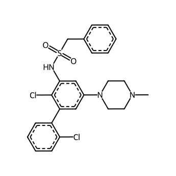 CN1CCN(c2cc(NS(=O)(=O)Cc3ccccc3)c(Cl)c(-c3ccccc3Cl)c2)CC1